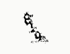 CC(=O)NC(C(=O)O)C1(C)CCN(C(=O)NCCc2ccc3c(n2)NCCC3)CC1